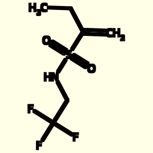 C=C(CC)S(=O)(=O)NCC(F)(F)F